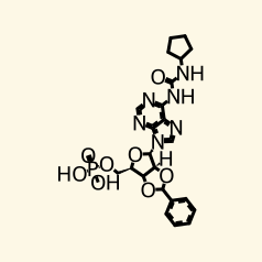 O=C(Nc1ncnc2c1ncn2[C@@H]1O[C@H](COP(=O)(O)O)C2OC(c3ccccc3)O[C@@H]21)NC1CCCC1